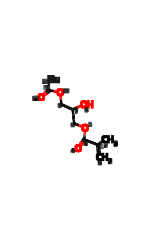 C=C(C)C(=O)OCC(O)COC(=O)C(C)CC